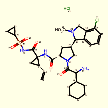 C=C[C@@H]1C[C@]1(NC(=O)[C@@H]1C[C@@H](C2c3cccc(Cl)c3CN2C(=O)O)CN1C(=O)C(N)C1CCCCC1)C(=O)NS(=O)(=O)C1CC1.Cl